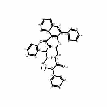 CC[C@H](NC(=O)c1c(OCCNC(=O)C(N)c2ccccc2)c(-c2ccccc2)nc2ccccc12)c1ccccc1